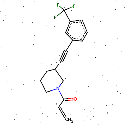 C=CC(=O)N1CCCC(C#Cc2cccc(C(F)(F)F)c2)C1